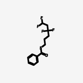 O=C(SCCCC(F)(F)CC(F)F)c1ccccc1